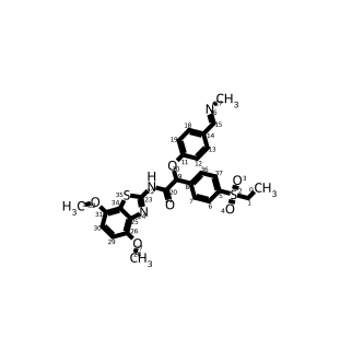 CCS(=O)(=O)c1ccc(C(Oc2ccc(/C=N/C)cc2)C(=O)Nc2nc3c(OC)ccc(OC)c3s2)cc1